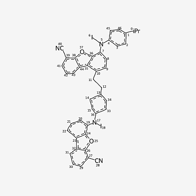 CC(C)c1ccc(N(I)c2ccc(CCc3ccc(N(I)c4cccc5c4oc4c(C#N)cccc45)cc3)c3c2oc2c(C#N)cccc23)cc1